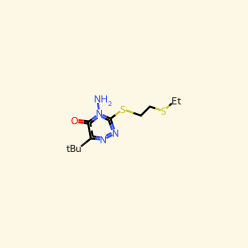 CCSCCSc1nnc(C(C)(C)C)c(=O)n1N